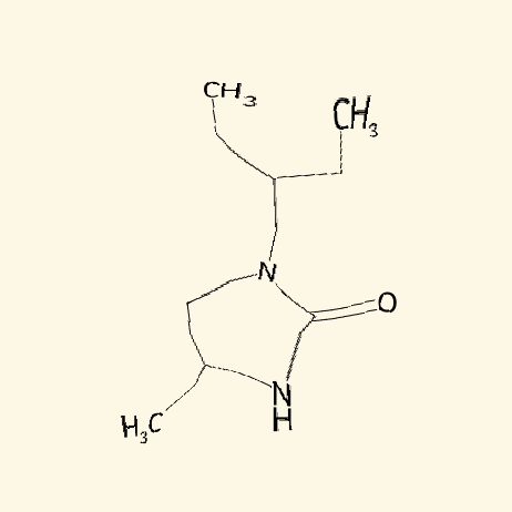 CCC(CC)N1CC(C)NC1=O